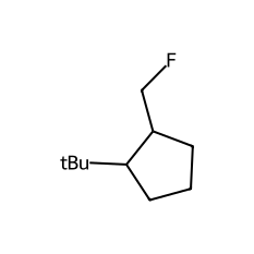 CC(C)(C)C1CCCC1CF